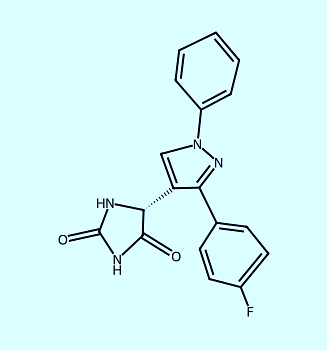 O=C1NC(=O)[C@@H](c2cn(-c3ccccc3)nc2-c2ccc(F)cc2)N1